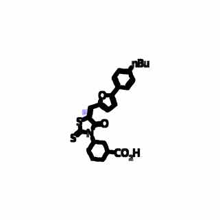 CCCCc1ccc(-c2ccc(/C=C3/SC(=S)N(C4CCCC(C(=O)O)C4)C3=O)o2)cc1